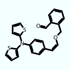 O=Cc1ccccc1CO/C=C\c1ccc(N(c2cccs2)c2cccs2)cc1